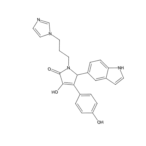 O=C1C(O)=C(c2ccc(O)cc2)C(c2ccc3[nH]ccc3c2)N1CCCn1ccnc1